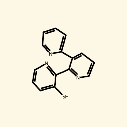 Sc1cccnc1-c1ncccc1-c1ccccn1